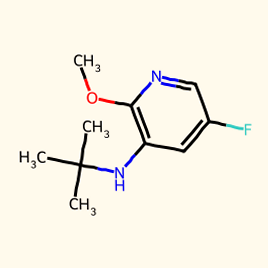 COc1ncc(F)cc1NC(C)(C)C